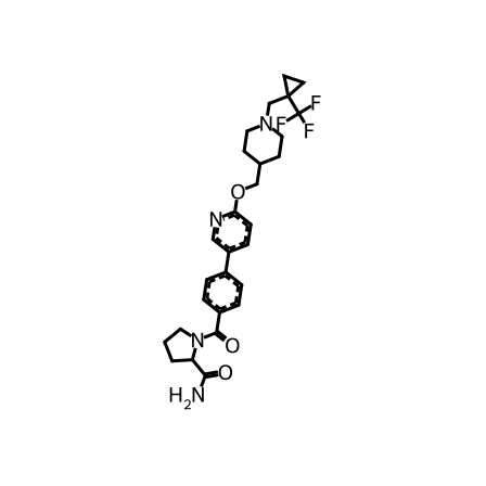 NC(=O)C1CCCN1C(=O)c1ccc(-c2ccc(OCC3CCN(CC4(C(F)(F)F)CC4)CC3)nc2)cc1